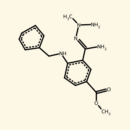 COC(=O)c1ccc(NCc2ccccc2)c(/C(N)=N/N(C)N)c1